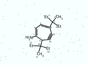 CCC(C)(CC)C1=CC=C(N)C(C(C)(CC)CC)C#C1